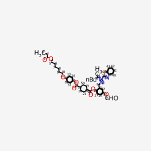 C=CC(=O)OCCCCCCOc1ccc(OC(=O)C2CCC(C(=O)Oc3ccc(OC=O)cc3/C=N/N(c3nc4ccccc4s3)C(C)CCCC)CC2)cc1